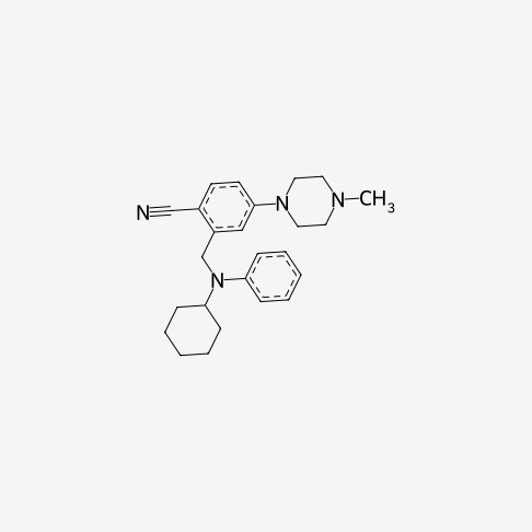 CN1CCN(c2ccc(C#N)c(CN(c3ccccc3)C3CCCCC3)c2)CC1